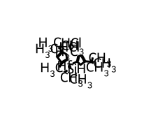 CC[SiH](CC)[Hf]([C]1=C(C)C=C(C(C)(C)C)C1)[C]1=C(C)C=C(C(C)(C)C)C1.Cl.Cl